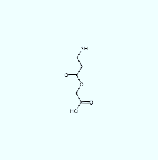 O=C(O)COC(=O)CCS